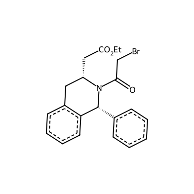 CCOC(=O)C[C@H]1Cc2ccccc2[C@@H](c2ccccc2)N1C(=O)CBr